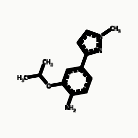 CC(C)Oc1cc(-c2ccn(C)n2)ccc1N